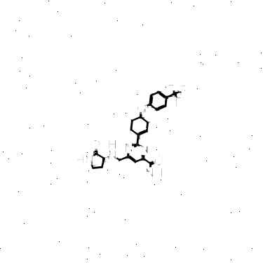 NC(=O)c1cc(CN[C@H]2CCNC2=O)nc(C2=CCC(Oc3ccc(C(F)(F)F)cc3)CC2)n1